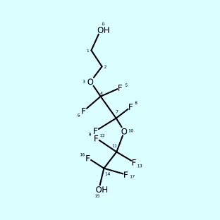 OCCOC(F)(F)C(F)(F)OC(F)(F)C(O)(F)F